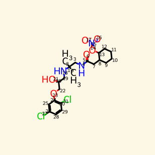 CC(C)(CNC(=O)CC1CCCCC1O[N+](=O)[O-])NCC(O)COc1cc(Cl)ccc1Cl